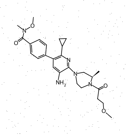 COCCC(=O)N1CCN(c2nc(C3CC3)c(-c3ccc(C(=O)N(C)OC)cc3)cc2N)C[C@H]1C